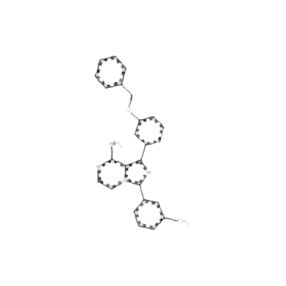 [CH2]c1cccc(-c2nc(-c3cccc(OCc4ccccc4)c3)c3c(N)nccn23)c1